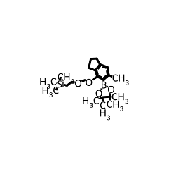 Cc1cc2c(c(OCOCC[Si](C)(C)C)c1B1OC(C)(C)C(C)(C)O1)CCC2